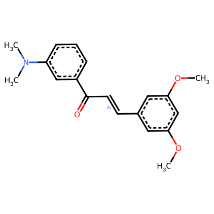 COc1cc(/C=C/C(=O)c2cccc(N(C)C)c2)cc(OC)c1